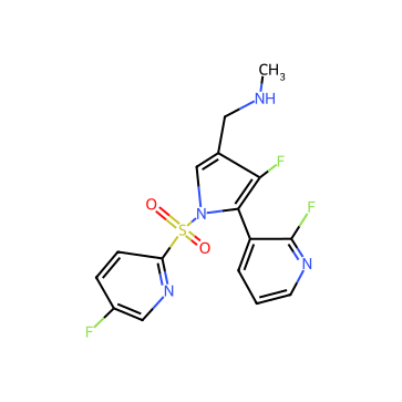 CNCc1cn(S(=O)(=O)c2ccc(F)cn2)c(-c2cccnc2F)c1F